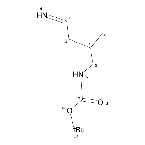 CC(CC=N)CNC(=O)OC(C)(C)C